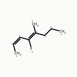 C/C=C\C(F)=C(/C)CCC